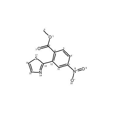 COC(=O)c1ccc([N+](=O)[O-])cc1-c1nccs1